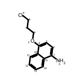 Nc1ccc(OCCCCl)c2ccccc12